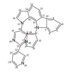 c1ccc(-n2c3ccccc3c3ccc4ccn(-c5cnc(-c6cccnc6)nc5)c4c32)cc1